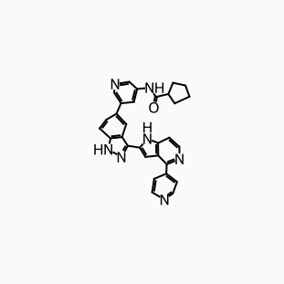 O=C(Nc1cncc(-c2ccc3[nH]nc(-c4cc5c(-c6ccncc6)nccc5[nH]4)c3c2)c1)C1CCCC1